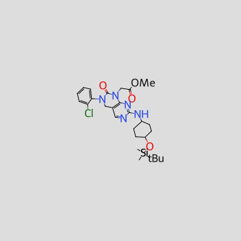 COC(=O)CN1C(=O)N(c2ccccc2Cl)Cc2cnc(NC3CCC(O[Si](C)(C)C(C)(C)C)CC3)nc21